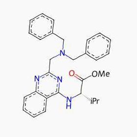 COC(=O)[C@@H](Nc1nc(CN(Cc2ccccc2)Cc2ccccc2)nc2ccccc12)C(C)C